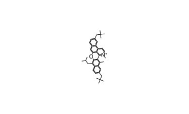 Cc1c2c(c(CC(C)C)c3ccc(CC(C)(C)C)cc13)Oc1cc3ccc(CC(C)(C)C)cc3c3cc[n+](C)c-2c13